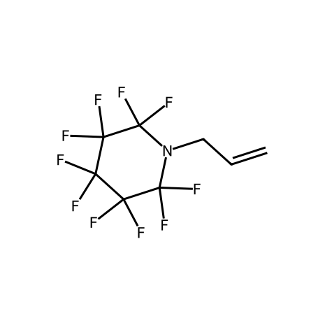 C=CCN1C(F)(F)C(F)(F)C(F)(F)C(F)(F)C1(F)F